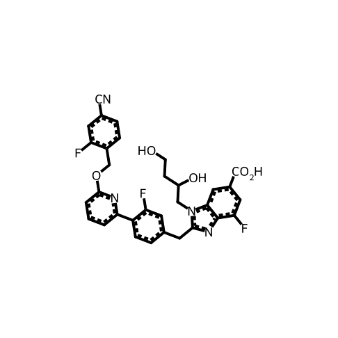 N#Cc1ccc(COc2cccc(-c3ccc(Cc4nc5c(F)cc(C(=O)O)cc5n4CC(O)CCO)cc3F)n2)c(F)c1